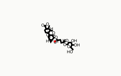 CC(C)[C@]12C[C@H]1[C@@H]1O[C@@]13[C@@]1(C)CCC4=C(COC4=O)[C@@H]1CO[C@]3(C)[C@@H]2OC(=O)CCC(=O)OC1OC(CO)C(O)C(O)C1O